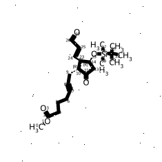 COC(=O)CCCC#CC[C@H]1C(=O)C[C@@H](O[Si](C)(C)C(C)(C)C)[C@@H]1C=CC=O